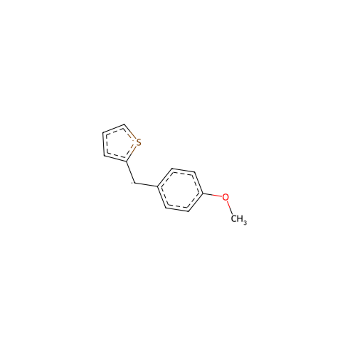 COc1ccc([CH]c2cccs2)cc1